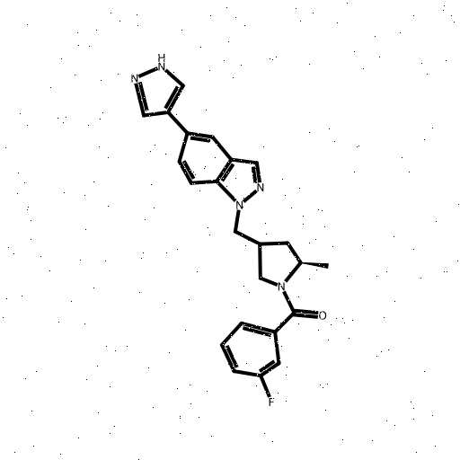 C[C@@H]1CC(Cn2ncc3cc(-c4cn[nH]c4)ccc32)CN1C(=O)c1cccc(F)c1